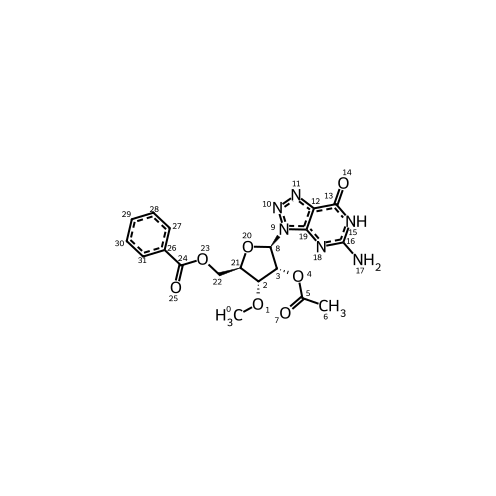 CO[C@H]1[C@@H](OC(C)=O)[C@H](n2nnc3c(=O)[nH]c(N)nc32)O[C@@H]1COC(=O)c1ccccc1